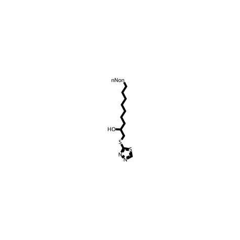 CCCCCCCCCCCCCCCCC(O)CSc1nncs1